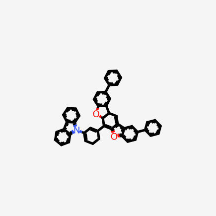 C1=C(C2=c3oc4ccc(-c5ccccc5)cc4c3=CC3c4cc(-c5ccccc5)ccc4OC23)CCC=C1n1c2ccccc2c2ccccc21